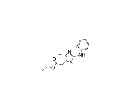 CCOC(=O)Cc1sc(Nc2ccccn2)nc1C